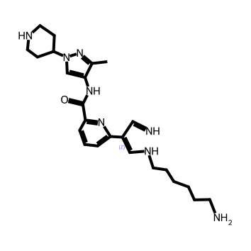 Cc1nn(C2CCNCC2)cc1NC(=O)c1cccc(/C(C=N)=C/NCCCCCCN)n1